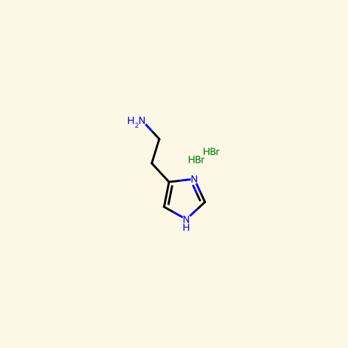 Br.Br.NCCc1c[nH]cn1